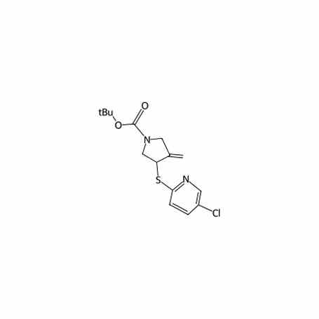 C=C1CN(C(=O)OC(C)(C)C)CC1Sc1ccc(Cl)cn1